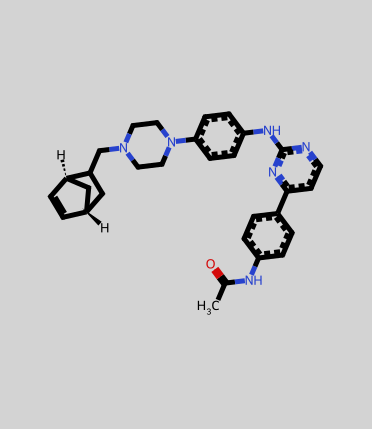 CC(=O)Nc1ccc(-c2ccnc(Nc3ccc(N4CCN(CC5C[C@@H]6C=C[C@@H]5C6)CC4)cc3)n2)cc1